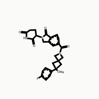 COC1(c2ccc(F)cc2)CC2(CN(C(=O)c3ccc4c(c3)CN(C3CCC(=O)NC3=O)C4=O)C2)C1